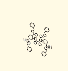 O=C(ON1C[C@H](NOCc2ccccc2)CC[C@H]1C(=O)OCc1ccccc1)C(=O)ON1C[C@H](NOCc2ccccc2)CC[C@H]1C(=O)OCc1ccccc1